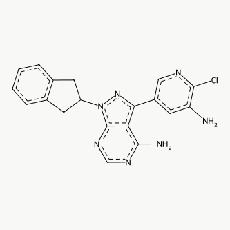 Nc1cc(-c2nn(C3Cc4ccccc4C3)c3ncnc(N)c23)cnc1Cl